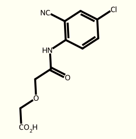 N#Cc1cc(Cl)ccc1NC(=O)COCC(=O)O